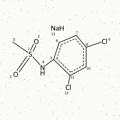 CS(=O)(=O)Nc1ccc(Cl)cc1Cl.[NaH]